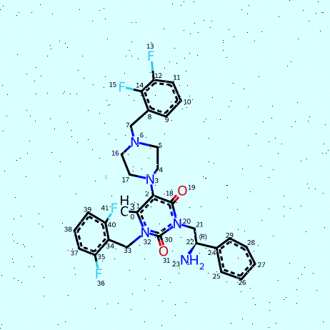 Cc1c(N2CCN(Cc3cccc(F)c3F)CC2)c(=O)n(C[C@H](N)c2ccccc2)c(=O)n1Cc1c(F)cccc1F